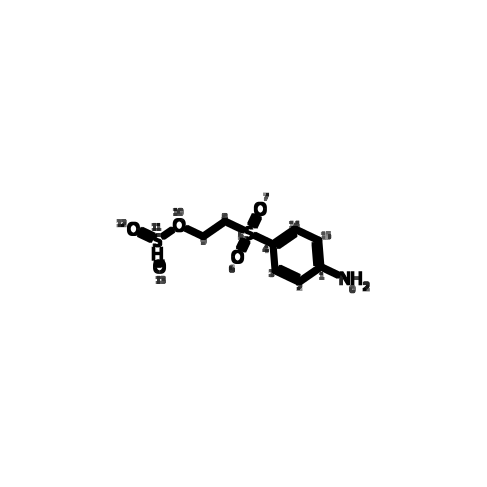 Nc1ccc(S(=O)(=O)CCO[SH](=O)=O)cc1